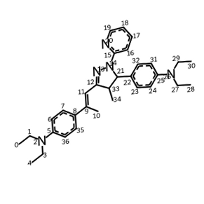 CCN(CC)c1ccc(C(C)=CC2=NN(c3ccccn3)C(c3ccc(N(CC)CC)cc3)C2C)cc1